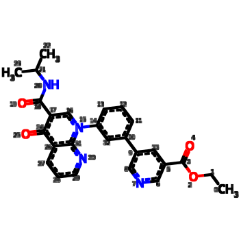 CCOC(=O)c1cncc(-c2cccc(-n3cc(C(=O)NC(C)C)c(=O)c4cccnc43)c2)c1